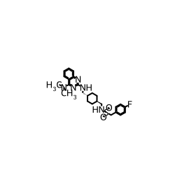 CN(C)c1nc(NC[C@H]2CC[C@H](CNS(=O)(=O)Cc3ccc(F)cc3)CC2)nc2ccccc12